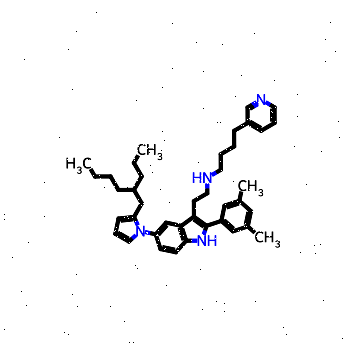 CCCCC(CCC)Cc1cccn1-c1ccc2[nH]c(-c3cc(C)cc(C)c3)c(CCNCCCCc3cccnc3)c2c1